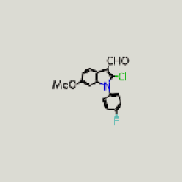 COc1ccc2c(C=O)c(Cl)n(-c3ccc(F)cc3)c2c1